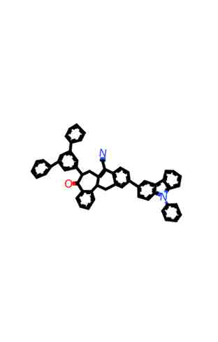 N#CC1=C2CC(c3cc(-c4ccccc4)cc(-c4ccccc4)c3)C(=O)c3ccccc3C2Cc2cc(-c3ccc4c(c3)c3ccccc3n4-c3ccccc3)ccc21